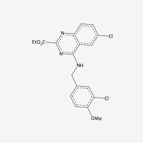 CCOC(=O)c1nc(NCc2ccc(OC)c(Cl)c2)c2cc(Cl)ccc2n1